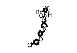 Cn1cc(Br)c(NC(=O)N2CC3(CCN(Cc4cccc(Oc5ccc(Cl)cc5)c4)CC3)C2)n1